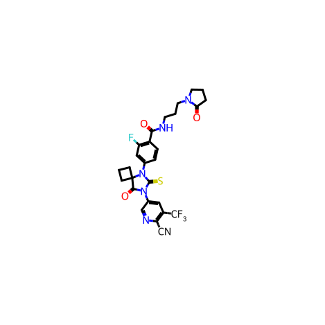 N#Cc1ncc(N2C(=O)C3(CCC3)N(c3ccc(C(=O)NCCCN4CCCC4=O)c(F)c3)C2=S)cc1C(F)(F)F